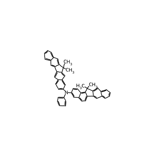 CC1(C)c2cc3ccccc3cc2-c2cc3ccc(N(c4ccccc4)c4ccc5c6c(ccc5c4)-c4cc5ccccc5cc4C6(C)C)cc3cc21